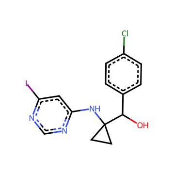 OC(c1ccc(Cl)cc1)C1(Nc2cc(I)ncn2)CC1